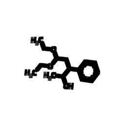 CCOC(CC(c1ccccc1)C(C)O)OCC